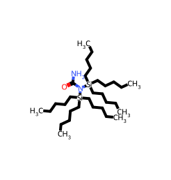 CCCCC[Si](CCCCC)(CCCCC)N(C(N)=O)[Si](CCCCC)(CCCCC)CCCCC